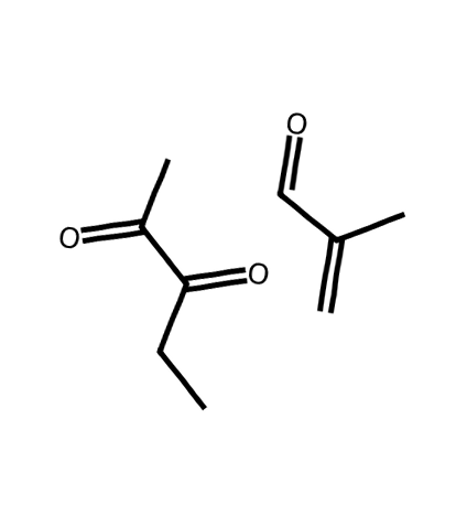 C=C(C)C=O.CCC(=O)C(C)=O